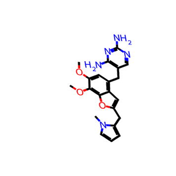 COc1cc(Cc2cnc(N)nc2N)c2cc(Cc3cccn3C)oc2c1OC